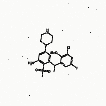 COc1c(Cl)cc(F)cc1C(C)c1cc(N2CCNCC2)cc(N)c1S(C)(=O)=O